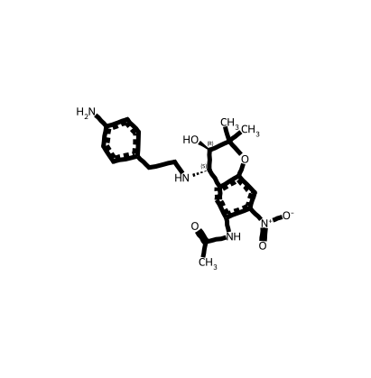 CC(=O)Nc1cc2c(cc1[N+](=O)[O-])OC(C)(C)[C@H](O)[C@H]2NCCc1ccc(N)cc1